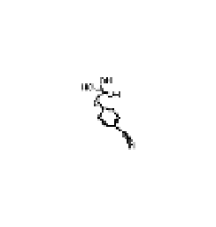 N#Cc1ccc(O[Si](O)(O)O)cc1